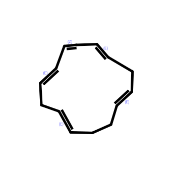 C1=C\C=C\C/C=C/CC/C=C/C/C=C/1